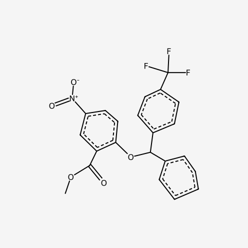 COC(=O)c1cc([N+](=O)[O-])ccc1OC(c1ccccc1)c1ccc(C(F)(F)F)cc1